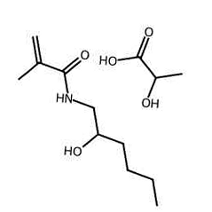 C=C(C)C(=O)NCC(O)CCCC.CC(O)C(=O)O